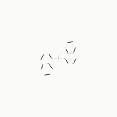 OC(O)(c1cccc2ccccc12)c1cccc2ccccc12